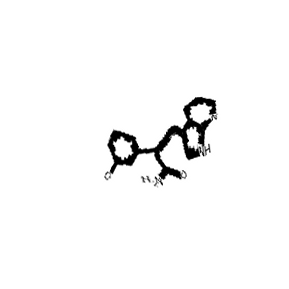 NC(=O)C(=Cc1c[nH]c2ncccc12)c1cccc(Cl)c1